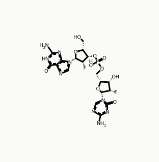 Nc1ncn([C@@H]2O[C@H](COP(=O)(O)O[C@@H]3[C@H](F)[C@H](n4cnc5c(=O)[nH]c(N)nc54)O[C@@H]3CO)[C@H](O)[C@@H]2F)c(=O)n1